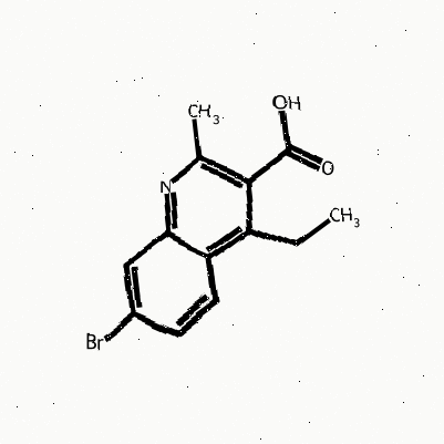 CCc1c(C(=O)O)c(C)nc2cc(Br)ccc12